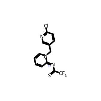 FC(F)(F)C(=S)/N=c1\ccccn1Cc1ccc(Cl)nc1